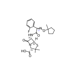 CC1(O/N=C(\C(=O)N[C@H]2C(=O)N3[C@@H]2SC(C)(C)[C@@H]3C(=O)O)c2ccccc2F)CCCC1